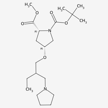 CCC(CO[C@@H]1C[C@H](C(=O)OC)N(C(=O)OC(C)(C)C)C1)CN1CCCC1